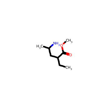 CCC(CC(C)N)C(=O)OC